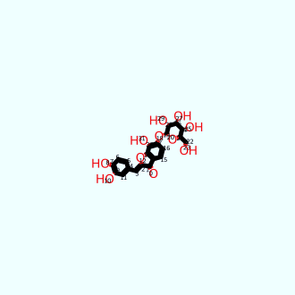 O=C1C(=Cc2ccc(O)c(O)c2)Oc2c1ccc(O[C@@H]1OC(CO)[C@@H](O)[C@H](O)C1O)c2O